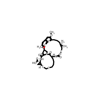 COc1cc2ccc3cc2cc1CCCC(C)(C)CCOC(=O)N[C@H]1CCCCCCC[C@H]2C[C@@]2(C(=O)O)NC(=O)[C@@H]2C[C@]3(OC)CN2C1=O